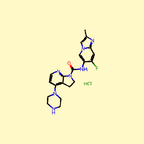 Cc1cn2cc(NC(=O)N3CCc4c(N5CCNCC5)ccnc43)c(F)cc2n1.Cl